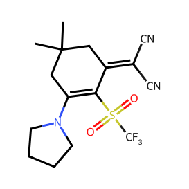 CC1(C)CC(=C(C#N)C#N)C(S(=O)(=O)C(F)(F)F)=C(N2CCCC2)C1